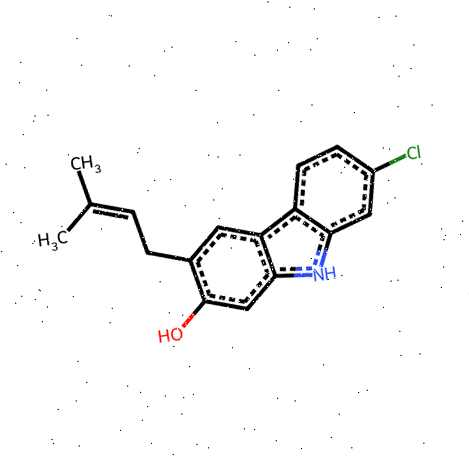 CC(C)=CCc1cc2c(cc1O)[nH]c1cc(Cl)ccc12